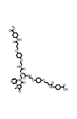 COC(=O)C1CCC(NC(=O)CCCOC2CCC(OCCNC(=O)CN(CCNC(=O)[C@H]3CC(=O)N(C)[C@@H]3c3cccnc3)CC(=O)NCCOC3CCC(OCCCC(=O)NC4CCC(C(=O)O)CC4)CC3)CC2)CC1